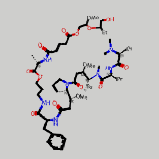 CCC(CO)OC(COC(=O)CCCC(=O)N[C@@H](C)C(=O)OCCCNC(=O)C(Cc1ccccc1)NC(=O)C[C@@H](OC)[C@@H]1CCCN1C(=O)C[C@@H](OC)[C@H]([C@@H](C)CC)N(C)C(=O)[C@@H](NC(=O)[C@H](C(C)C)N(C)C)C(C)C)OC